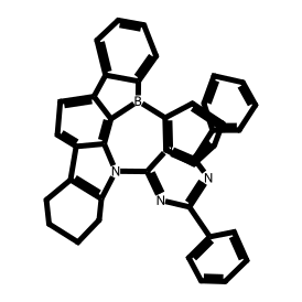 c1ccc(B2c3ccccc3-c3ccc4c5c(n(-c6nc(-c7ccccc7)nc(-c7ccccc7)n6)c4c32)CCCC5)cc1